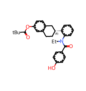 CCN(C(=O)c1ccc(O)cc1)c1ccccc1[C@@H]1CCc2cc(OC(=O)C(C)(C)C)ccc2C1